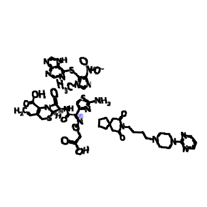 C=CC1=C(C(=O)O)N2C(=O)[C@@H](NC(=O)/C(=N\OCC(=O)O)c3csc(N)n3)[C@H]2SC1.Cn1cnc([N+](=O)[O-])c1Sc1ncnc2nc[nH]c12.O=C1CC2(CCCC2)CC(=O)N1CCCCN1CCN(c2ncccn2)CC1